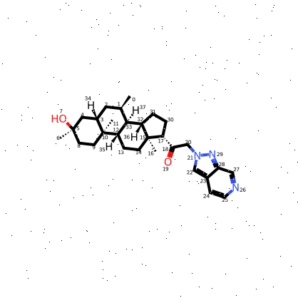 C[C@@H]1C[C@H]2C[C@](C)(O)CC[C@]2(C)[C@H]2CC[C@]3(C)[C@@H](C(=O)Cn4cc5ccncc5n4)CC[C@H]3[C@H]12